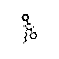 O=CCCC[C@H](NC(=O)c1ccccc1)C(=O)N1CCCCC1